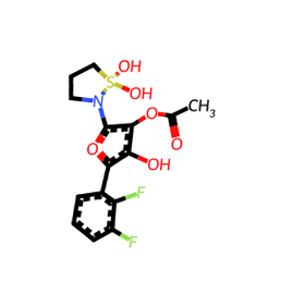 CC(=O)Oc1c(N2CCCS2(O)O)oc(-c2cccc(F)c2F)c1O